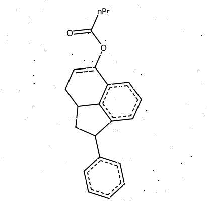 CCCC(=O)OC1=CCC2CC(c3ccccc3)c3cccc1c32